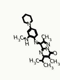 CNc1cc(N2CCCCC2)ccc1N=C1C(C)=Nn2c1nc(C(C)C)c(C)c2=O